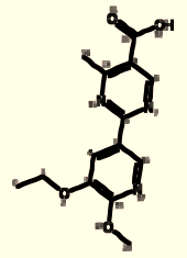 CCOc1cc(-c2ncc(C(=O)O)c(C)n2)cnc1OC